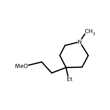 CCC1(CCOC)CCN(C)CC1